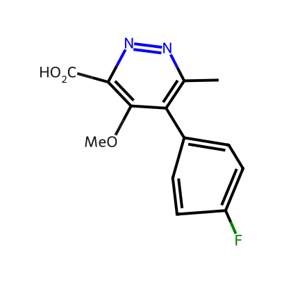 COc1c(C(=O)O)nnc(C)c1-c1ccc(F)cc1